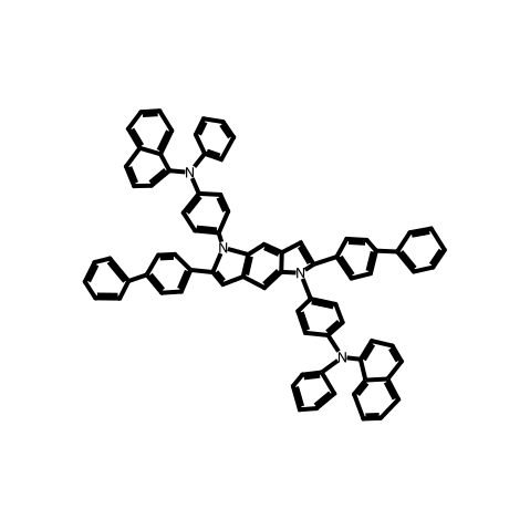 c1ccc(-c2ccc(-c3cc4cc5c(cc(-c6ccc(-c7ccccc7)cc6)n5-c5ccc(N(c6ccccc6)c6cccc7ccccc67)cc5)cc4n3-c3ccc(N(c4ccccc4)c4cccc5ccccc45)cc3)cc2)cc1